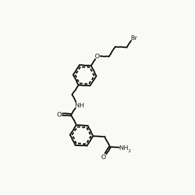 NC(=O)Cc1cccc(C(=O)NCc2ccc(OCCCBr)cc2)c1